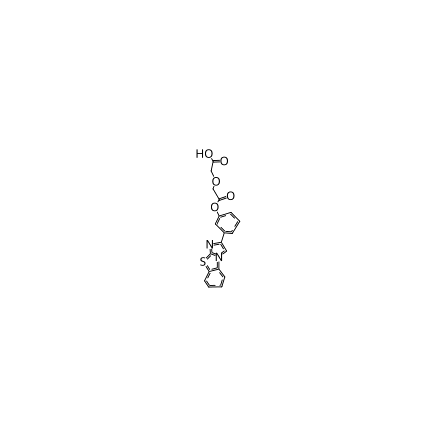 O=C(O)COCC(=O)Oc1cccc(-c2cn3c(n2)sc2ccccc23)c1